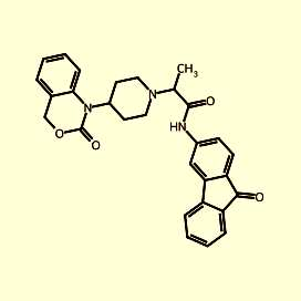 CC(C(=O)Nc1ccc2c(c1)-c1ccccc1C2=O)N1CCC(N2C(=O)OCc3ccccc32)CC1